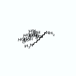 CP(=O)(O)O.CP(=O)(O)O.CP(=O)(O)O.CP(=O)(O)O.NCCCCCCCCCCN